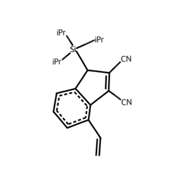 C=Cc1cccc2c1C(C#N)=C(C#N)C2[Si](C(C)C)(C(C)C)C(C)C